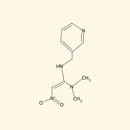 CN(C)C(=C[N+](=O)[O-])NCc1cccnc1